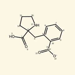 O=C(O)C1(Cc2ccccc2[N+](=O)[O-])CCCN1